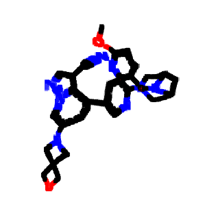 COc1ccc(CN2C3CC2CN(c2ccc(-c4cc(N5CC6(COC6)C5)cn5ncc(C#N)c45)cn2)C3)cn1